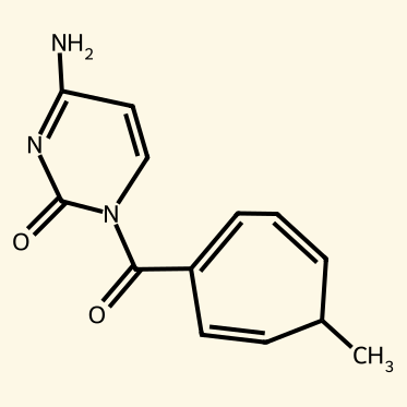 CC1C=CC=C(C(=O)n2ccc(N)nc2=O)C=C1